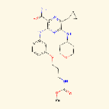 CC(C)(C)OC(=O)NCCCOc1cccc(Nc2nc(NC3CCOCC3)c(C3CC3)nc2C(N)=O)c1